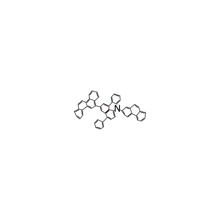 c1ccc(-c2ccc(N(c3ccc4c(ccc5ccccc54)c3)c3ccccc3-c3cccc(-c4cc5c6ccccc6ccc5c5ccccc45)c3)cc2)cc1